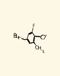 Cc1cc(Br)cc(F)c1Cl